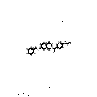 CCOc1ccc([C@@H](C)N2CCc3ccc(SCc4ccccc4)cc3C2)cn1